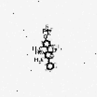 Cc1cc(OCC(F)(F)F)cc(C)c1-c1c(O)c(C)c(-c2ccccc2)oc1=O